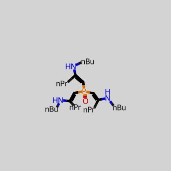 CCCCN/C(=C/P(=O)(/C=C(\CCC)NCCCC)/C=C(\CCC)NCCCC)CCC